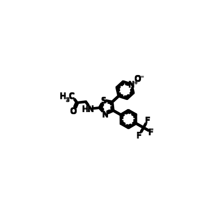 CC(=O)CNc1nc(-c2ccc(C(F)(F)F)cc2)c(-c2cc[n+]([O-])cc2)s1